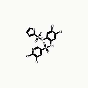 O=S(=O)(Nc1cc(Cl)c(Cl)cc1NS(=O)(=O)c1cccs1)c1cnc(Cl)c(Cl)c1